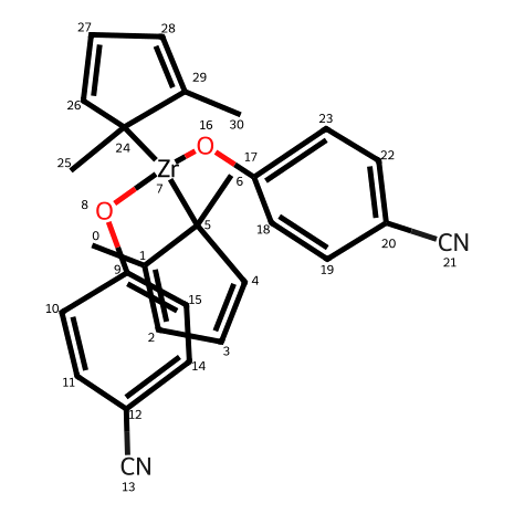 CC1=CC=C[C]1(C)[Zr]([O]c1ccc(C#N)cc1)([O]c1ccc(C#N)cc1)[C]1(C)C=CC=C1C